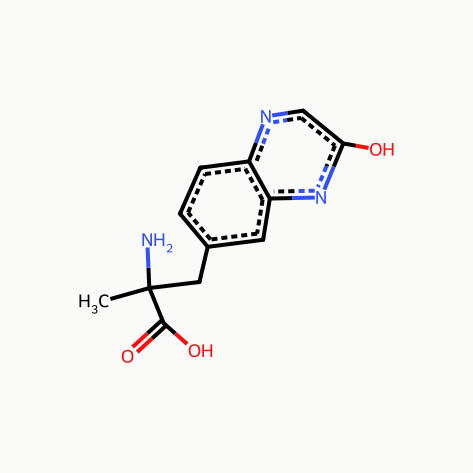 CC(N)(Cc1ccc2ncc(O)nc2c1)C(=O)O